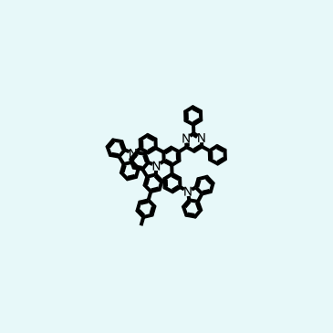 Cc1ccc(-c2ccc3c(c2)c2ccccc2n3-c2c(-c3cccc(-n4c5ccccc5c5ccccc54)c3)cc(-c3cc(-c4ccccc4)nc(-c4ccccc4)n3)cc2-c2cccc(-n3c4ccccc4c4ccccc43)c2)cc1